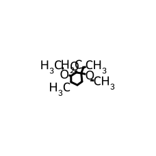 C=C(C)C1(OCC)CCC(C)C(OCC)C1=O